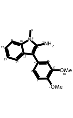 COc1ccc(-c2c(N)n(C)c3ccccc23)cc1OC